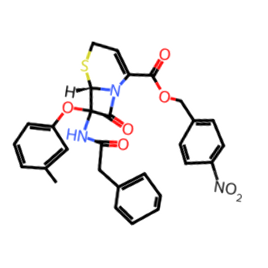 Cc1cccc(OC2(NC(=O)Cc3ccccc3)C(=O)N3C(C(=O)OCc4ccc([N+](=O)[O-])cc4)=CCS[C@H]32)c1